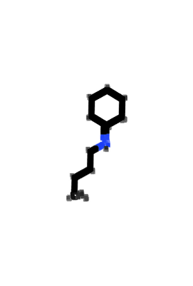 CCCCN=C1CCCCC1